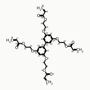 C=CC(=O)OCCOc1cc(OCCOC(=O)C=C)cc(-c2cc(OCCOC(=O)C=C)cc(OCCOC(=O)C=C)c2)c1